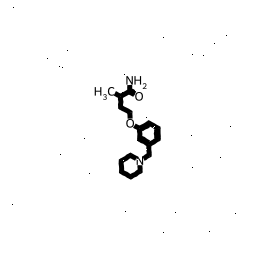 CC(CCOc1cccc(CN2CCCCC2)c1)C(N)=O